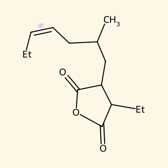 CC/C=C\CC(C)CC1C(=O)OC(=O)C1CC